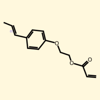 C=CC(=O)OCCOc1ccc(/C=C/C)cc1